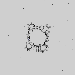 C1=CSC2=C(CC/N=C/c3ccncc3CNc3cccnc3CCCCc3ccccc3CC2)S1